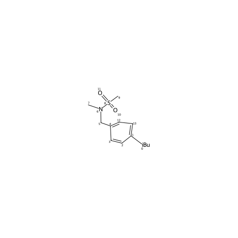 CCC(C)c1ccc(CN(C)S(C)(=O)=O)cc1